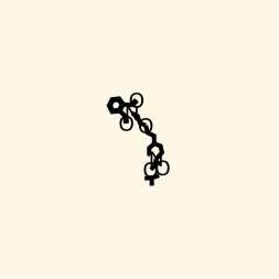 CC(C)(C)OC(=O)N1CCC(CCOCCN2C(=O)c3ccccc3C2=O)CC1